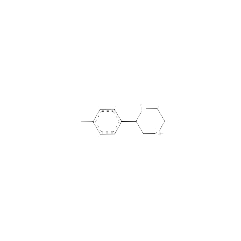 Fc1ccc(C2CNCC[N]2)cc1